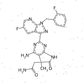 CC1(CC(N)=O)C(=O)Nc2nc(-c3nn(Cc4ccccc4F)c4ncc(F)cc34)nc(N)c21